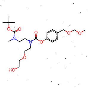 COCOCc1ccc(OC(=O)N(CCOCCO)CCN(C)C(=O)OC(C)(C)C)cc1